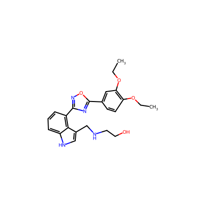 CCOc1ccc(-c2nc(-c3cccc4[nH]cc(CNCCO)c34)no2)cc1OCC